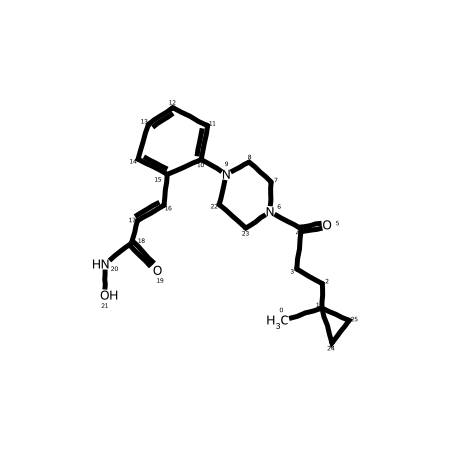 CC1(CCC(=O)N2CCN(c3ccccc3/C=C/C(=O)NO)CC2)CC1